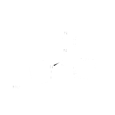 OC1CCN([C@@H]2c3ccccc3-c3cncn32)CC1